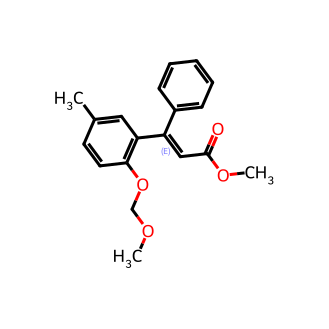 COCOc1ccc(C)cc1/C(=C/C(=O)OC)c1ccccc1